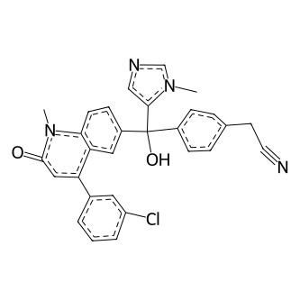 Cn1cncc1C(O)(c1ccc(CC#N)cc1)c1ccc2c(c1)c(-c1cccc(Cl)c1)cc(=O)n2C